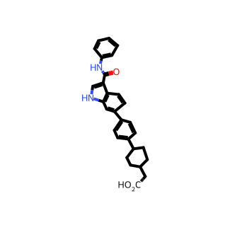 O=C(O)CC1CCC(c2ccc(-c3ccc4c(C(=O)Nc5ccccc5)c[nH]c4c3)cc2)CC1